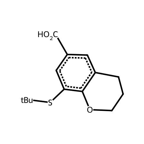 CC(C)(C)Sc1cc(C(=O)O)cc2c1OCCC2